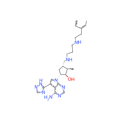 C=C/C(=C\C)CCNCCCNC[C@H]1C[C@@H](n2cc(-c3ncn[nH]3)c3c(N)ncnc32)[C@H](O)[C@@H]1C